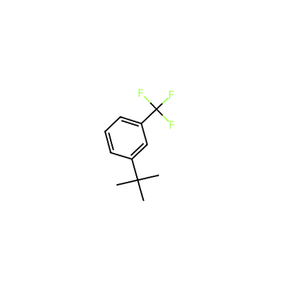 CC(C)(C)c1cccc(C(F)(F)F)c1